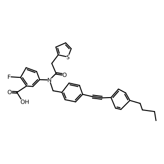 CCCCc1ccc(C#Cc2ccc(CN(C(=O)Cc3cccs3)c3ccc(F)c(C(=O)O)c3)cc2)cc1